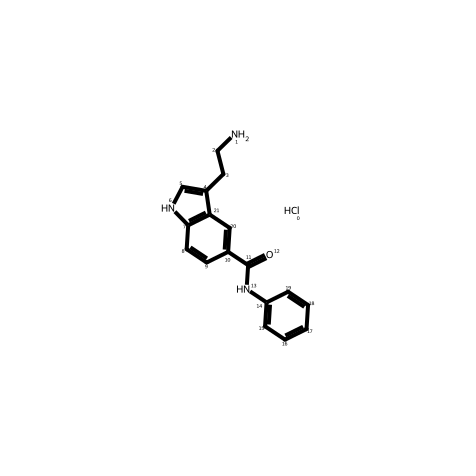 Cl.NCCc1c[nH]c2ccc(C(=O)Nc3ccccc3)cc12